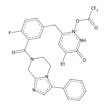 CCc1cc(Cc2ccc(F)c(C(=O)N3CCn4c(-c5ccccc5)cnc4C3)c2)[n+](OC(=O)C(F)(F)F)[nH]c1=O